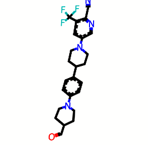 N#Cc1ncc(N2CCC(c3ccc(N4CCC(C=O)CC4)cc3)CC2)cc1C(F)(F)F